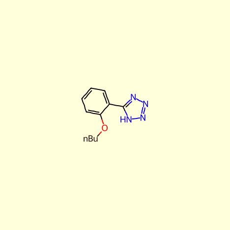 CCCCOc1ccccc1-c1nnn[nH]1